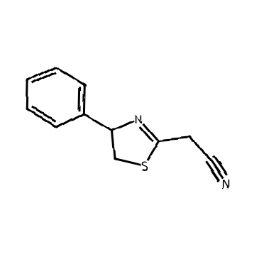 N#CCC1=NC(c2ccccc2)CS1